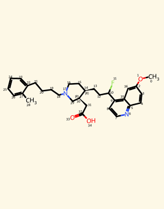 COc1ccc2nccc(C(F)CC[C@@H]3CCN(CCCCc4ccccc4C)C[C@@H]3CC(=O)O)c2c1